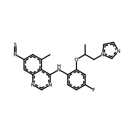 Cc1cc(N=S)cc2ncnc(Nc3ccc(F)cc3OC(C)Cn3ccnc3)c12